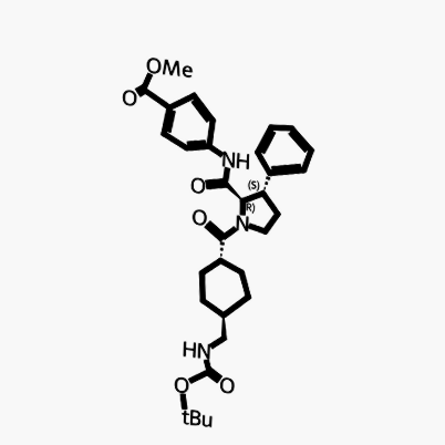 COC(=O)c1ccc(NC(=O)[C@H]2[C@H](c3ccccc3)CCN2C(=O)[C@H]2CC[C@H](CNC(=O)OC(C)(C)C)CC2)cc1